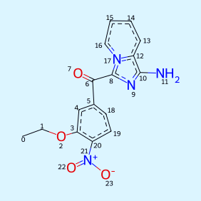 CCOc1cc(C(=O)c2nc(N)c3ccccn23)ccc1[N+](=O)[O-]